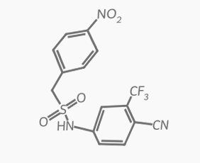 N#Cc1ccc(NS(=O)(=O)Cc2ccc([N+](=O)[O-])cc2)cc1C(F)(F)F